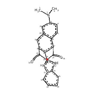 CN(C)c1ccc2c3c(-c4nc5ccccc5[nH]4)c(cc2c1)C(=O)NC3=O